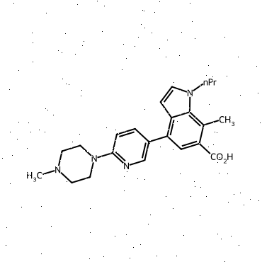 CCCn1ccc2c(-c3ccc(N4CCN(C)CC4)nc3)cc(C(=O)O)c(C)c21